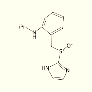 CC(C)Nc1ccccc1C[S+]([O-])c1ncc[nH]1